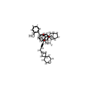 Nc1nnc(-c2ccccc2O)cc1N1CC2CCC(C1)N2c1ccnc(C#CCN2CC3(CCOCC3)C2)c1